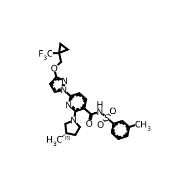 Cc1cccc(S(=O)(=O)NC(=O)c2ccc(-n3ccc(OCC4(C(F)(F)F)CC4)n3)nc2N2CC[C@H](C)C2)c1